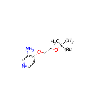 CC(C)(C)[Si](C)(C)OCCOc1ccncc1N